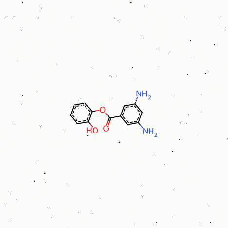 Nc1cc(N)cc(C(=O)Oc2ccccc2O)c1